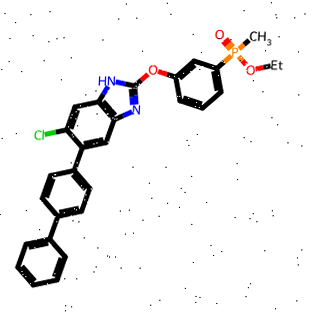 CCOP(C)(=O)c1cccc(Oc2nc3cc(-c4ccc(-c5ccccc5)cc4)c(Cl)cc3[nH]2)c1